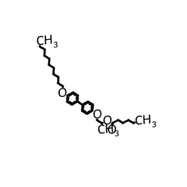 CCCCCCCCCCCOc1ccc(-c2ccc(OCC(C)OC(=O)CCCCC)cc2)cc1